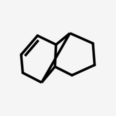 C1=CC2C3CCCC2C3C1